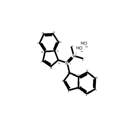 C[Si](C)=[Zr]([CH]1C=Cc2ccccc21)[CH]1C=Cc2ccccc21.Cl.Cl